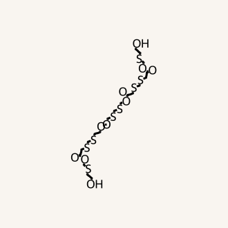 O=C(CSCSCCOOCSCSCOC(=O)CSCSCC(=O)OCSCCO)OCSCCO